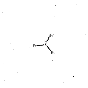 CC[SiH](CC)C(C)C